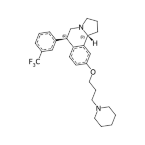 FC(F)(F)c1cccc([C@H]2CN3CCC[C@@H]3c3cc(OCCCN4CCCCC4)ccc32)c1